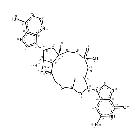 CC12COC3C[C@@H](OP(=O)(S)OC[C@H]4O[C@@H](n5cnc6c(N)ncnc65)[C@H](O1)[C@@H]42)[C@H](n1cnc2c(=O)[nH]c(N)nc21)O3